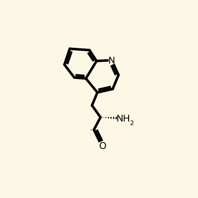 N[C@H]([C]=O)Cc1ccnc2ccccc12